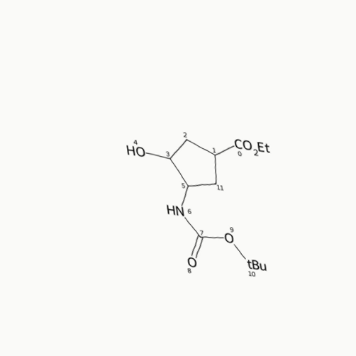 CCOC(=O)C1CC(O)C(NC(=O)OC(C)(C)C)C1